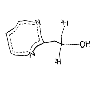 [2H]C([2H])(O)c1ncccn1